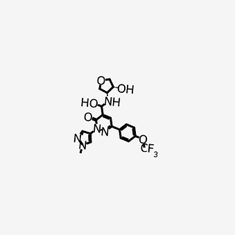 Cn1cc(-n2nc(-c3ccc(OC(F)(F)F)cc3)cc(C(O)N[C@@H]3COC[C@@H]3O)c2=O)cn1